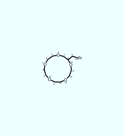 CC(C)CC1COCCOCCOCCOCCO1